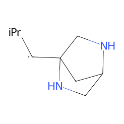 CC(C)[CH]C12CNC(CN1)C2